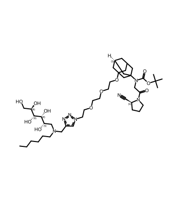 CCCCCCN(Cc1cn(CCOCCOCCOC23CC4C[C@H](C2)CC(N(CC(=O)N2CCC[C@H]2C#N)C(=O)OC(C)(C)C)(C4)C3)nn1)C[C@H](O)[C@@H](O)[C@H](O)[C@H](O)CO